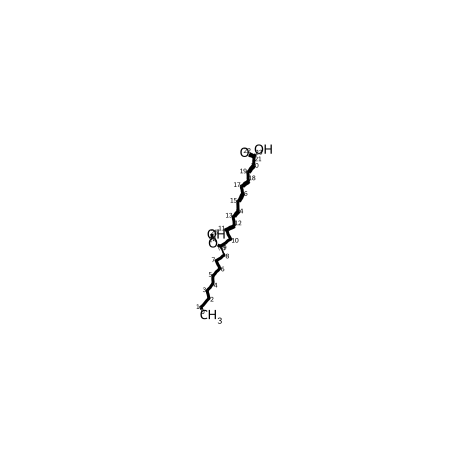 CCCCCCCCC[C@H](CC=CC=CC=CC=CC=CC(=O)O)OO